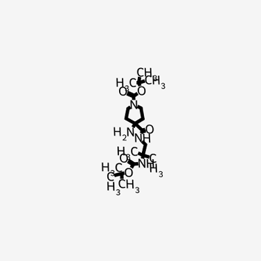 CC(C)(CNC(=O)C1(N)CCN(C(=O)OC(C)(C)C)CC1)NC(=O)OC(C)(C)C